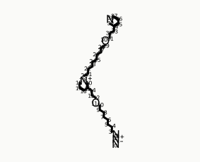 [N-]=[N+]=NCCCCCCCCOCCCc1ccc[n+](CCCCCCCCCCOCCCc2cccnc2)c1